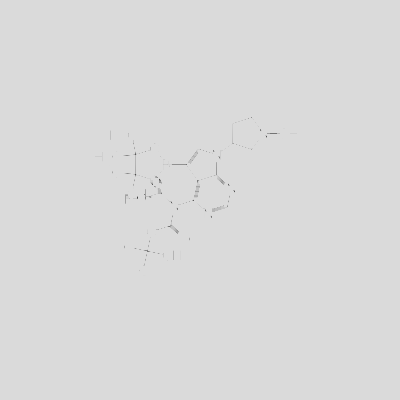 CN1CCC(n2cc(B3OC(C)(C)C(C)(C)O3)c3c(N(C(=O)O)C(=O)OC(C)(C)C)ncnc32)C1